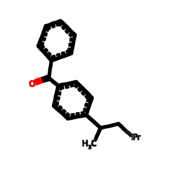 CC(C)CC(C)c1ccc(C(=O)c2ccccc2)cc1